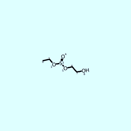 CCOS(=O)OCCO